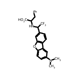 CC(C)CC(NC(c1ccc2c(c1)oc1ccc(N(C)C)cc12)C(F)(F)F)C(=O)O